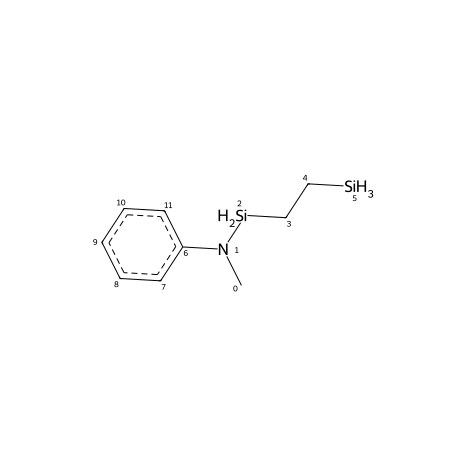 CN([SiH2]CC[SiH3])c1ccccc1